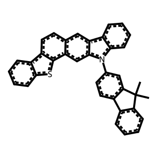 CC1(C)c2ccccc2-c2ccc(-n3c4ccccc4c4cc5ccc6c7ccccc7sc6c5cc43)cc21